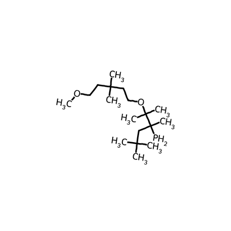 COCCC(C)(C)CCOC(C)(C)C(C)(P)CC(C)(C)C